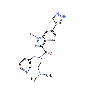 CCn1nc(C(=O)N(CCN(C)C)Cc2cccnc2)c2ccc(-c3cn[nH]c3)cc21